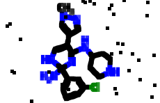 Cn1cc(C2=CNC(N)(c3cccc(Cl)c3)N=C2NC2CCNCC2)cn1